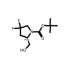 CC(C)(C)OC(=O)N1CC(F)(F)C[C@@H]1CO